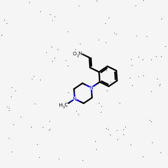 CN1CCN(c2ccccc2C=C[N+](=O)[O-])CC1